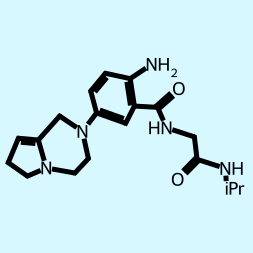 CC(C)NC(=O)CNC(=O)c1cc(N2CCN3CCC=C3C2)ccc1N